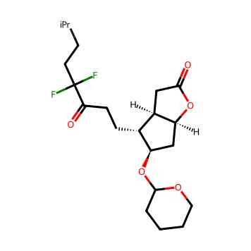 CC(C)CCC(F)(F)C(=O)CC[C@@H]1[C@H]2CC(=O)O[C@H]2C[C@H]1OC1CCCCO1